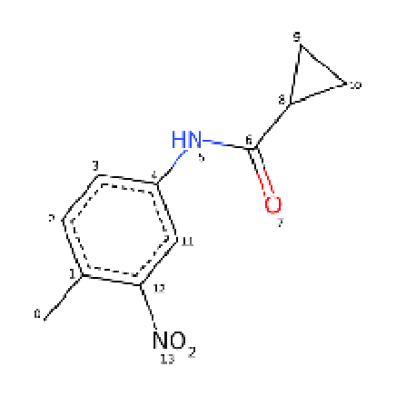 Cc1ccc(NC(=O)C2CC2)cc1[N+](=O)[O-]